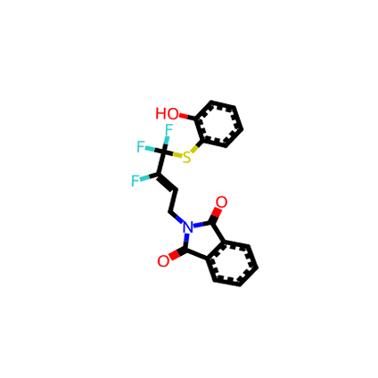 O=C1c2ccccc2C(=O)N1CC=C(F)C(F)(F)Sc1ccccc1O